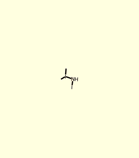 CI(C)NI